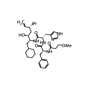 C=C[C@@H](C[C@H](O)[C@H](CC1CCCCC1)NC(=O)[C@H](Cc1c[nH]cn1)NC(=O)[C@H](Cc1ccccc1)NC(=O)CCOC)C(C)C